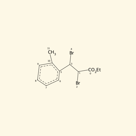 CCOC(=O)C(Br)C(Br)c1ccccc1C